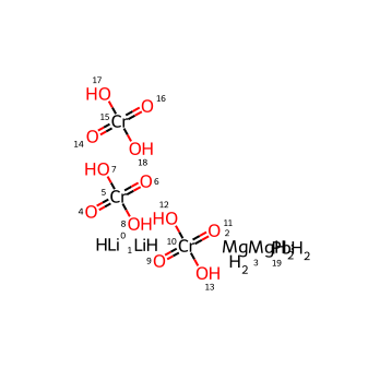 [LiH].[LiH].[MgH2].[MgH2].[O]=[Cr](=[O])([OH])[OH].[O]=[Cr](=[O])([OH])[OH].[O]=[Cr](=[O])([OH])[OH].[PbH2]